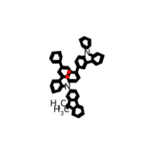 CC1(C)c2ccccc2-c2ccc(N(c3ccc(-c4ccc5c(c4)c4ccccc4n5-c4ccccc4)cc3)c3ccccc3C3=CC(c4ccccc4)=CCC3)cc21